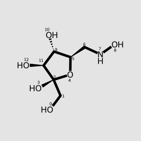 OC[C@@]1(O)O[C@H](CNO)[C@@H](O)[C@@H]1O